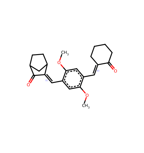 COc1cc(/C=C2/C(=O)C3CCC2C3)c(OC)cc1/C=C1\CCCCC1=O